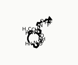 CC1(C)C[C@@H]2CCCNc3cccc(n3)S(=O)(=O)NC(=O)c3ccc(-n4ccc(OCCC5(C(F)(F)F)CC5)n4)nc3N1C2